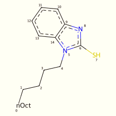 CCCCCCCCCCCCn1c(S)nc2ccccc21